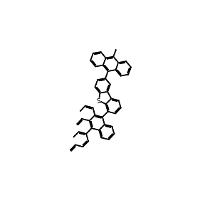 C=C/C=C\C(=C/C)c1c(C=C)c(/C=C\C)c(-c2cccc3c2sc2ccc(-c4c5ccccc5c(C)c5ccccc45)cc23)c2ccccc12